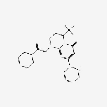 C[C@@H]1COCCN1c1cc(=O)n2c(n1)N(CC(=O)C1CCOCC1)CCC2C(F)(F)F